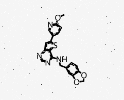 COc1ccc(-c2cc3ncnc(NCc4ccc5c(c4)OCO5)c3s2)cn1